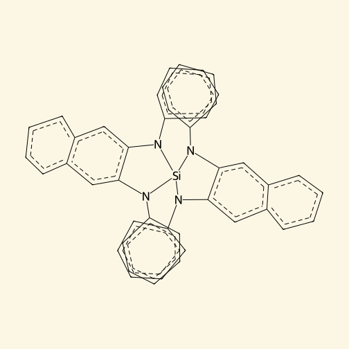 c1ccc(N2c3cc4ccccc4cc3N(c3ccccc3)[Si]23N(c2ccccc2)c2cc4ccccc4cc2N3c2ccccc2)cc1